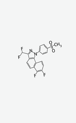 CS(=O)(=O)c1ccc(-n2nc(C(F)F)c3ccc4c(F)c(F)ccc4c32)cc1